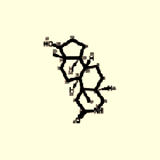 C[C@]12CC(=O)NC[C@@H]1CC[C@@H]1[C@@H]2CC[C@]2(C)C(O)CC[C@@H]12